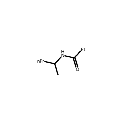 [CH2]CC(=O)NC(C)CCC